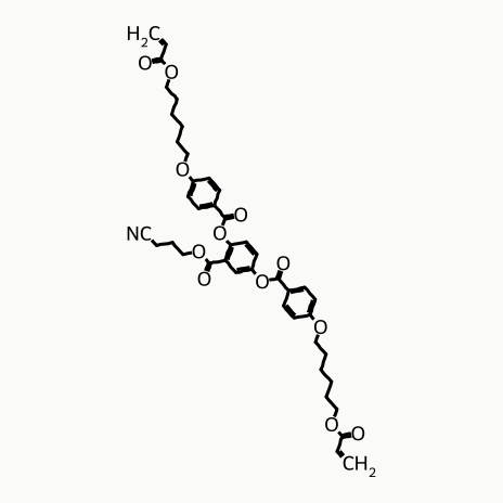 C=CC(=O)OCCCCCCOc1ccc(C(=O)Oc2ccc(OC(=O)c3ccc(OCCCCCCOC(=O)C=C)cc3)c(C(=O)OCCCC#N)c2)cc1